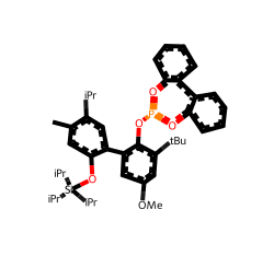 COc1cc(-c2cc(C(C)C)c(C)cc2O[Si](C(C)C)(C(C)C)C(C)C)c(Op2oc3ccccc3c3ccccc3o2)c(C(C)(C)C)c1